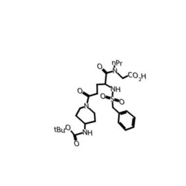 CCCN(CC(=O)O)C(=O)C(CCC(=O)N1CCC(NC(=O)OC(C)(C)C)CC1)NS(=O)(=O)Cc1ccccc1